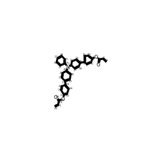 C=CC(=O)Oc1ccc(C2=CCC(N(c3ccccc3)c3ccc(-c4ccc(OC(=O)C=C)cc4)cc3)C=C2)cc1